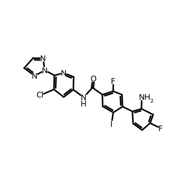 Nc1cc(F)ccc1-c1cc(F)c(C(=O)Nc2cnc(-n3nccn3)c(Cl)c2)cc1I